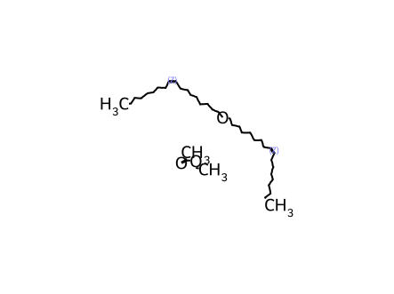 CCCCCCCC/C=C\CCCCCCCCOCCCCCCCC/C=C\CCCCCCCC.CCOC(C)=O